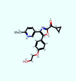 COc1ccc(-c2nc(C(=O)C3CC3)oc2-c2ccc(OCCO)cc2)cn1